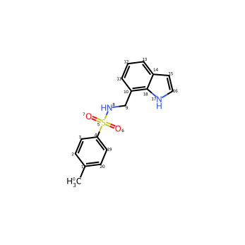 Cc1ccc(S(=O)(=O)NCc2cccc3cc[nH]c23)cc1